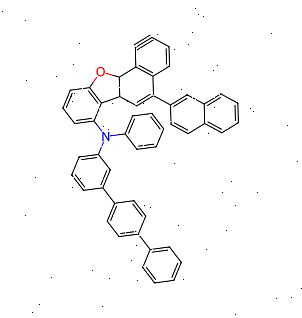 c1ccc2c(c#1)C1Oc3cccc(N(c4ccccc4)c4cccc(-c5ccc(-c6ccccc6)cc5)c4)c3C1C=C2c1ccc2ccccc2c1